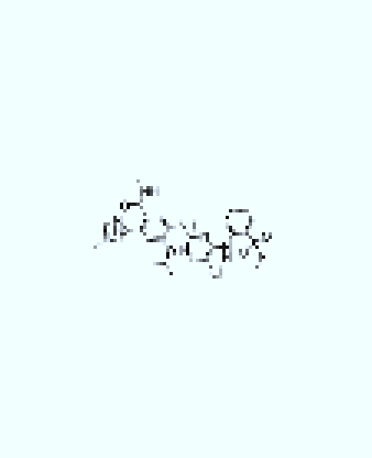 CNC(=O)c1cc(Nc2ncc(Cl)c(Nc3ccccc3S(=O)(=O)N(C)C)n2)c(OC(C)C)cc1-c1cc(C)c[nH]1